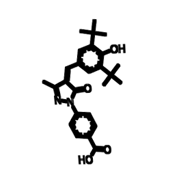 CC1=NN(c2ccc(C(=O)O)cc2)C(=O)/C1=C\c1cc(C(C)(C)C)c(O)c(C(C)(C)C)c1